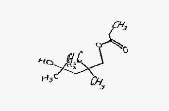 CC(=O)OCC(C)(C)CC(C)(C)O